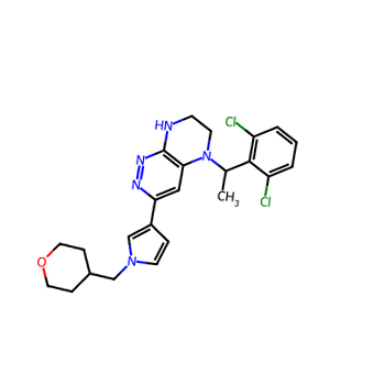 CC(c1c(Cl)cccc1Cl)N1CCNc2nnc(-c3ccn(CC4CCOCC4)c3)cc21